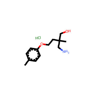 Cc1ccc(OCCC(C)(CN)CO)cc1.Cl